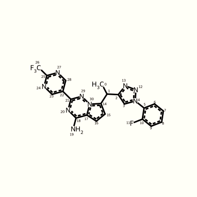 CC(c1cn(-c2ccccc2F)nn1)c1ccc2c(N)nc(-c3cnc(C(F)(F)F)nc3)nn12